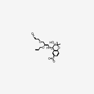 C=CCOC(=CN[C@@H]1c2cc([N+](=O)[O-])ccc2OC(C)(C)[C@H]1O)COCC=C=O